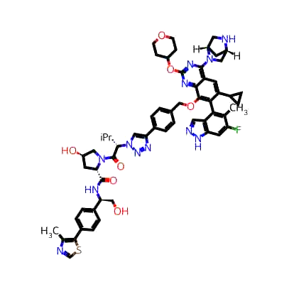 Cc1ncsc1-c1ccc([C@H](CO)NC(=O)[C@@H]2C[C@@H](O)CN2C(=O)[C@H](C(C)C)n2cc(-c3ccc(COc4c(-c5c(C)c(F)cc6[nH]ncc56)c(C5CC5)cc5c(N6C[C@@H]7C[C@H]6CN7)nc(OC6CCOCC6)nc45)cc3)nn2)cc1